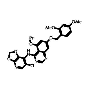 COc1ccc(COc2cc(OC(C)C)c3c(Nc4c(Cl)cnc5c4OCO5)ncnc3c2)c(OC)c1